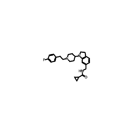 O=C(NCc1ccc2c(c1)N(C1CCN(CCc3ccc(F)cc3)CC1)CC2)C1CC1